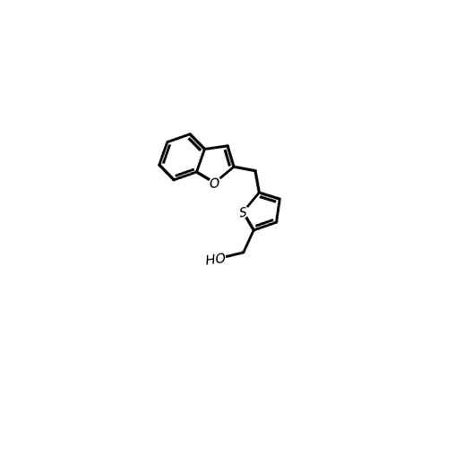 OCc1ccc(Cc2cc3ccccc3o2)s1